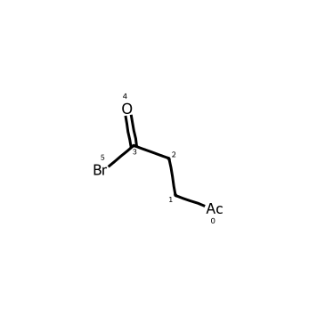 CC(=O)CCC(=O)Br